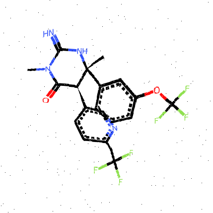 CN1C(=N)N[C@](C)(c2cccc(OC(F)(F)F)c2)[C@@H](c2ccc(C(F)(F)F)nc2)C1=O